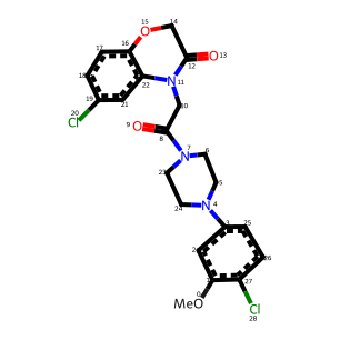 COc1cc(N2CCN(C(=O)CN3C(=O)COc4ccc(Cl)cc43)CC2)ccc1Cl